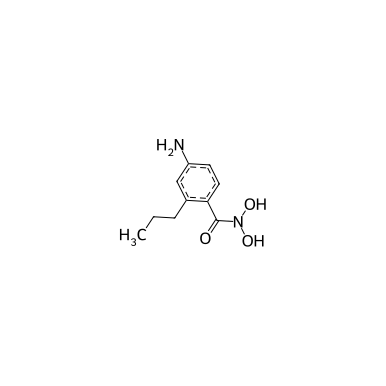 CCCc1cc(N)ccc1C(=O)N(O)O